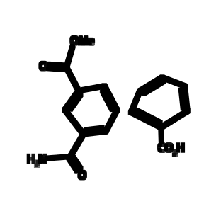 COC(=O)c1cccc(C(N)=O)c1.O=C(O)c1ccccc1